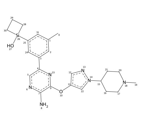 Cc1cc(-c2cnc(N)c(Oc3cnn(C4CCN(C)CC4)c3)n2)cc([Si]2(O)CCC2)c1